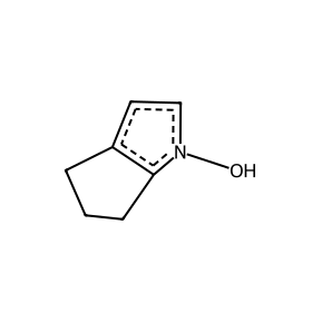 On1ccc2c1CCC2